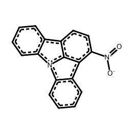 O=[N+]([O-])c1ccc2c3ccccc3n3c4ccccc4c1c23